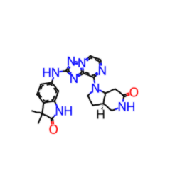 CC1(C)C(=O)Nc2cc(Nc3nc4c(N5CC[C@@H]6CNC(=O)CC65)nccn4n3)ccc21